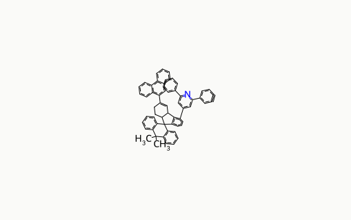 CC1(C)c2ccccc2C2(c3ccccc31)c1cccc(-c3cc(-c4cc#ccc4)nc(-c4ccccc4)c3)c1C1C=C(c3cc4ccccc4c4ccccc34)CCC12